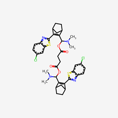 CN(C)C(OC(=O)CCC(=O)OC(C1=C(c2nc3ccc(Cl)cc3s2)C2CCC1C2)N(C)C)C1=C(c2nc3ccc(Cl)cc3s2)C2CCC1C2